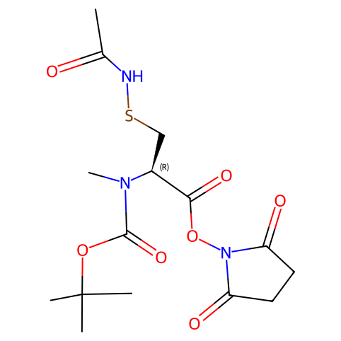 CC(=O)NSC[C@@H](C(=O)ON1C(=O)CCC1=O)N(C)C(=O)OC(C)(C)C